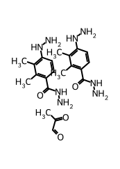 CC(=O)C=O.Cc1c(NN)ccc(C(=O)NN)c1C.Cc1c(NN)ccc(C(=O)NN)c1C